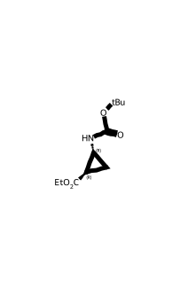 CCOC(=O)[C@@H]1C[C@H]1NC(=O)OC(C)(C)C